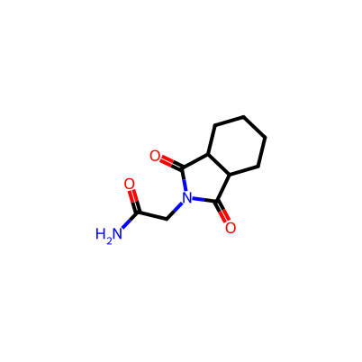 NC(=O)CN1C(=O)C2CCCCC2C1=O